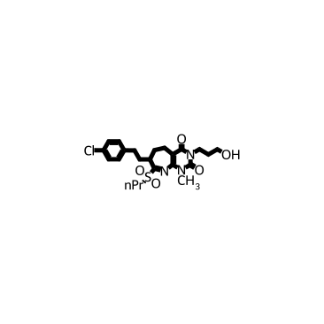 CCCS(=O)(=O)C1=Nc2c(c(=O)n(CCCO)c(=O)n2C)CCC1CCc1ccc(Cl)cc1